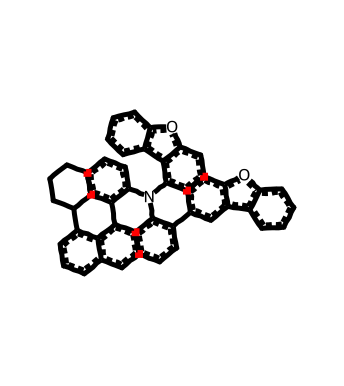 c1ccc(N(c2ccccc2-c2cccc3cccc(C4CCCCC4)c23)c2cccc3oc4ccccc4c23)c(-c2ccc3oc4ccccc4c3c2)c1